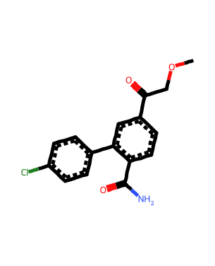 COCC(=O)c1ccc(C(N)=O)c(-c2ccc(Cl)cc2)c1